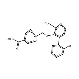 CCc1ccccc1-c1cccc([N+](=O)[O-])c1OCc1ccc(C(=O)OC)cc1